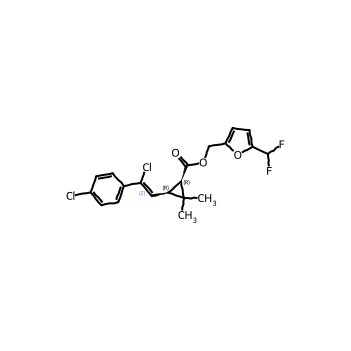 CC1(C)[C@H](C(=O)OCc2ccc(C(F)F)o2)[C@@H]1/C=C(\Cl)c1ccc(Cl)cc1